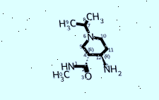 CNC(=O)[C@@H]1CN(C(C)C)CC[C@H]1N